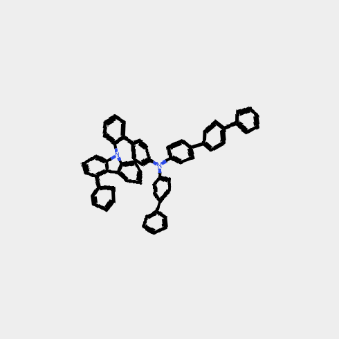 c1ccc(-c2ccc(-c3ccc(N(c4ccc(-c5ccccc5)cc4)c4ccc(-c5ccccc5-n5c6ccccc6c6c(-c7ccccc7)cccc65)cc4)cc3)cc2)cc1